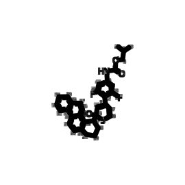 CC(C)COC(=O)Nc1cc(F)c(C2=CC(O)(C3CCCc4ccc5c(ccc6ccccc65)c43)SC=C2)c(F)c1